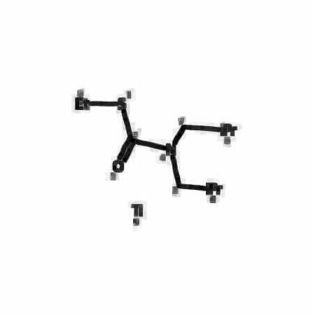 CCSC(=O)N(CC(C)C)CC(C)C.[Ti]